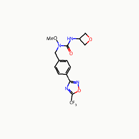 CON(Cc1ccc(-c2noc(C(F)(F)F)n2)cc1)C(=O)NC1COC1